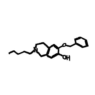 CCCCCN1CCc2cc(OCc3ccccc3)c(O)cc2C1